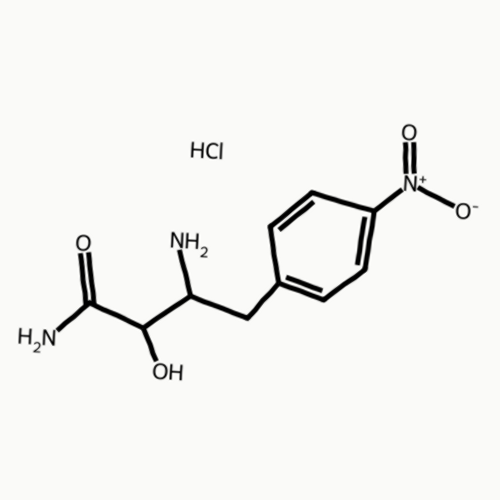 Cl.NC(=O)C(O)C(N)Cc1ccc([N+](=O)[O-])cc1